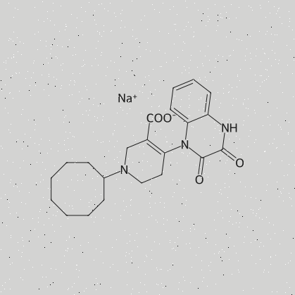 O=C([O-])C1=C(n2c(=O)c(=O)[nH]c3ccccc32)CCN(C2CCCCCCC2)C1.[Na+]